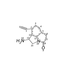 C#Cc1ccc2ccc(=O)n3c2c1C(N)C3